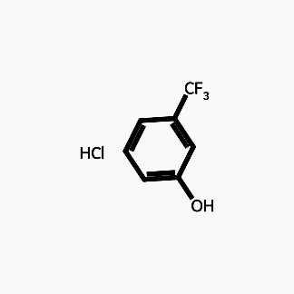 Cl.Oc1cccc(C(F)(F)F)c1